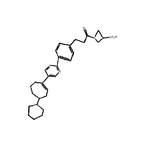 O=C(O)C1CN(C(=O)CCc2ccc(-c3ncc(C4=CCC(C5CCCCC5)CCC4)cn3)cc2)C1